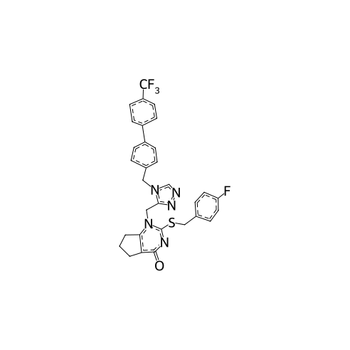 O=c1nc(SCc2ccc(F)cc2)n(Cc2nncn2Cc2ccc(-c3ccc(C(F)(F)F)cc3)cc2)c2c1CCC2